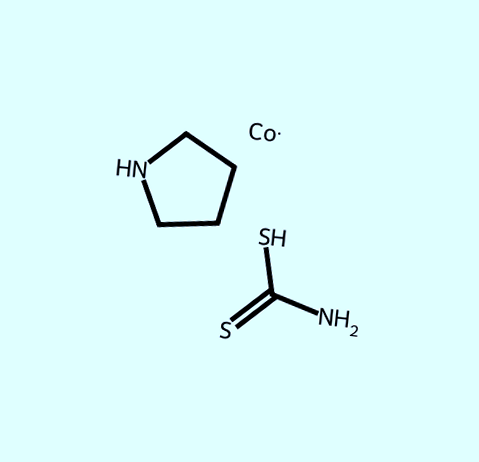 C1CCNC1.NC(=S)S.[Co]